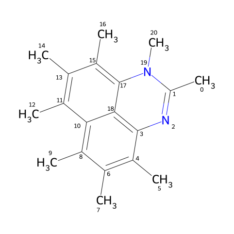 CC1=Nc2c(C)c(C)c(C)c3c(C)c(C)c(C)c(c23)N1C